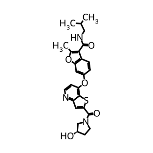 Cc1oc2cc(Oc3ccnc4cc(C(=O)N5CC[C@@H](O)C5)sc34)ccc2c1C(=O)NCC(C)C